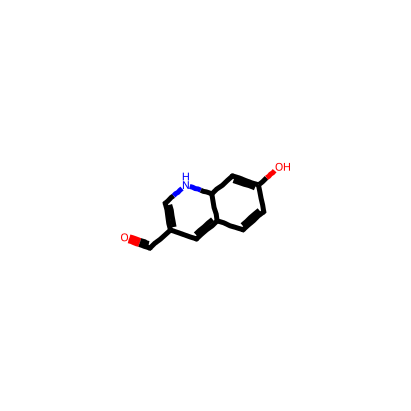 O=CC1=CNC2C=C(O)C=CC2=C1